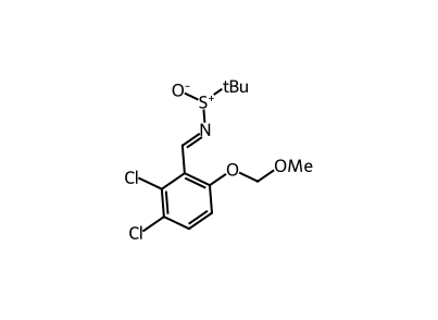 COCOc1ccc(Cl)c(Cl)c1C=N[S+]([O-])C(C)(C)C